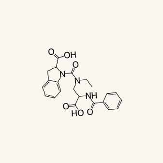 CCN(CC(NC(=O)c1ccccc1)C(=O)O)C(=O)N1c2ccccc2CC1C(=O)O